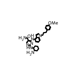 COc1ccc(CCCn2ccc3c(Nc4nc(NC5CCCCC5N)ncc4C(N)=O)cccc32)cc1